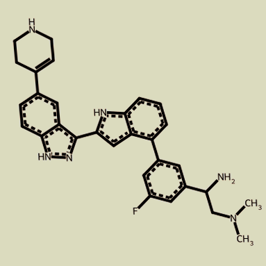 CN(C)CC(N)c1cc(F)cc(-c2cccc3[nH]c(-c4n[nH]c5ccc(C6=CCNCC6)cc45)cc23)c1